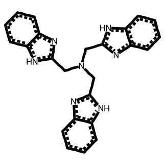 c1ccc2[nH]c(CN(Cc3nc4ccccc4[nH]3)Cc3nc4ccccc4[nH]3)nc2c1